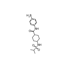 Bc1ccc(NC(=O)C2CCC(NS(=O)(=O)C(C)C)CC2)cc1